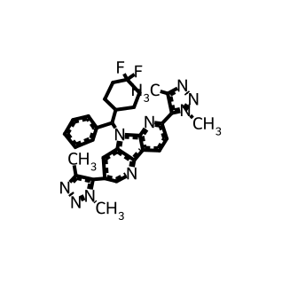 Cc1nnn(C)c1-c1cnc2c3ccc(-c4c(C)nnn4C)nc3n(C(c3ccccc3)C3CCC(F)(F)CC3)c2c1